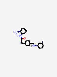 Nc1ccccc1NC(=O)/C=C\c1ccc(CNc2cccc(I)c2)cc1